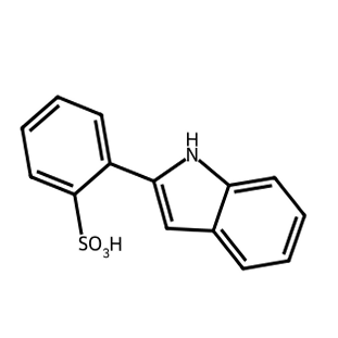 O=S(=O)(O)c1ccccc1-c1cc2ccccc2[nH]1